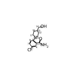 NC(=O)c1cc(Cl)ccc1N1CCC(CO)CC1